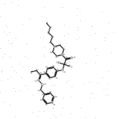 CCCCCN1CCN(C(=O)C(F)(F)Oc2ccc(/C(CC)=N\OCc3ccncc3)cc2)CC1